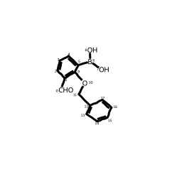 O=Cc1cccc(B(O)O)c1OCc1ccccc1